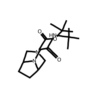 CC(C)(C)NC(=O)CN1C2CCC1CN(C(=O)OC(C)(C)C)C2